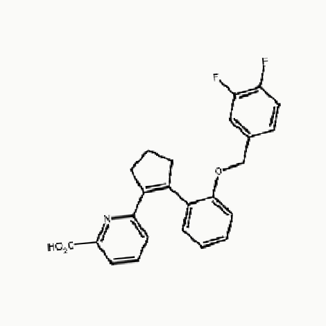 O=C(O)c1cccc(C2=C(c3ccccc3OCc3ccc(F)c(F)c3)CCC2)n1